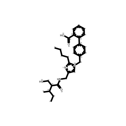 CCCCc1nc(CNC(=O)C(CS)C(C)CC)cn1Cc1ccc(-c2ccccc2C(=O)O)cc1